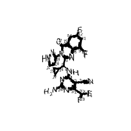 N#Cc1c(N[C@H](c2nc3c(F)cc(F)cc3c(=O)n2-c2cc[nH]n2)C2CC2)nc(N)nc1C(F)F